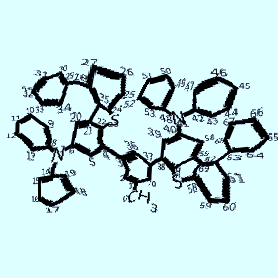 Cc1cc(-c2cc(N(c3ccccc3)c3ccccc3)cc3c2sc2cccc(-c4ccccc4)c23)cc(-c2cc(N(c3ccccc3)c3ccccc3)cc3c2sc2cccc(-c4ccccc4)c23)c1